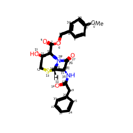 COc1ccc(COC(=O)C2C(O)CS[C@H]3[C@H](NC(=O)Cc4ccccc4)C(=O)N23)cc1